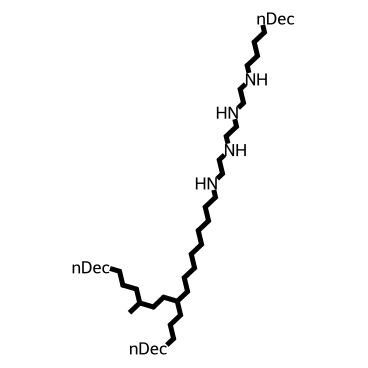 CCCCCCCCCCCCCCNCCNCCNCCNCCCCCCCCCC(CCCCCCCCCCCCC)CCC(C)CCCCCCCCCCCCC